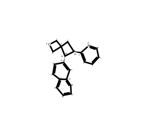 c1ccc([C@@H]2CC3(COC3)[C@H]2c2ccc3ccccc3c2)nc1